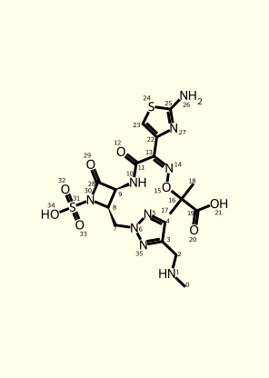 CNCc1cnn(C[C@@H]2[C@H](NC(=O)C(=NOC(C)(C)C(=O)O)c3csc(N)n3)C(=O)N2S(=O)(=O)O)n1